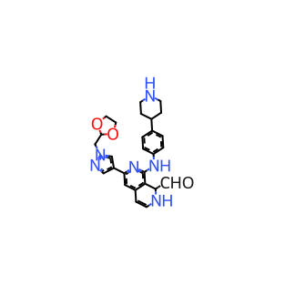 O=CC1NC=Cc2cc(-c3cnn(CC4OCCO4)c3)nc(Nc3ccc(C4CCNCC4)cc3)c21